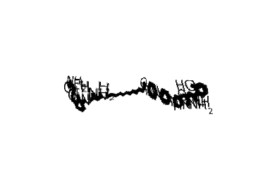 CCC(C(N)=O)N1Cc2c(cccc2NC/C(N)=C/NCCCCCCCCCCCC(=O)N2CCN(c3ccc(N4CCCC(O/C(=C/C(=N)c5ccccc5O)C(=N)N)C4)cc3)CC2)CO1